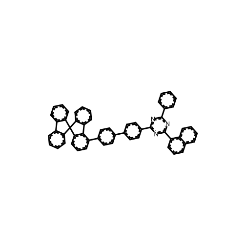 c1ccc(-c2nc(-c3ccc(-c4ccc(-c5cccc6c5-c5ccccc5C65c6ccccc6-c6ccccc65)cc4)cc3)nc(-c3cccc4ccccc34)n2)cc1